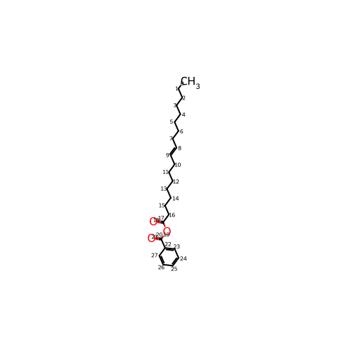 CCCCCCCCC=CCCCCCCCC(=O)OC(=O)c1ccccc1